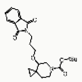 CC(C)(C)OC(=O)N1CCC2(CC2)C(OCCCN2C(=O)c3ccccc3C2=O)C1